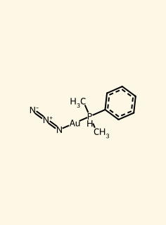 C[PH](C)([Au][N]=[N+]=[N-])c1ccccc1